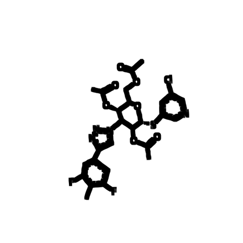 CC(=O)OCC1O[C@H](Sc2cncc(Cl)c2)C(OC(C)=O)C(n2cc(-c3cc(F)c(C)c(F)c3)nn2)[C@H]1OC(C)=O